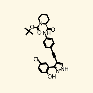 CC(C)(C)OC(=O)N1CCCC[C@H]1C(=O)Nc1ccc(C#Cc2c[nH]nc2-c2cc(Cl)ccc2O)cc1